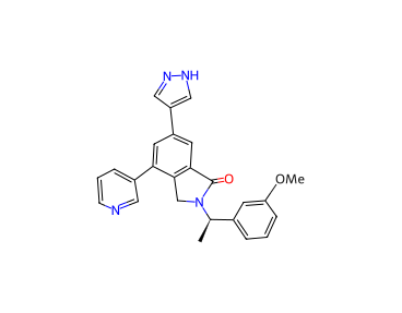 COc1cccc([C@@H](C)N2Cc3c(cc(-c4cn[nH]c4)cc3-c3cccnc3)C2=O)c1